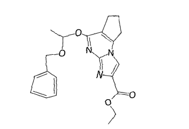 CCOC(=O)c1cn2c3c(c(OC(C)OCc4ccccc4)nc2n1)CCC3